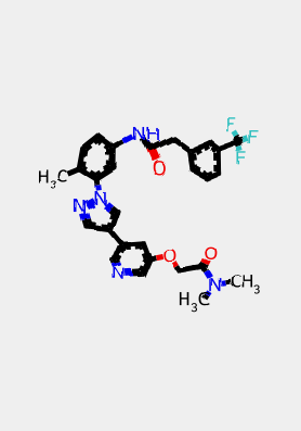 Cc1ccc(NC(=O)Cc2cccc(C(F)(F)F)c2)cc1-n1cc(-c2cncc(OCC(=O)N(C)C)c2)cn1